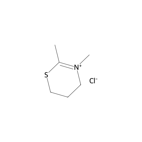 CC1=[N+](C)CCCS1.[Cl-]